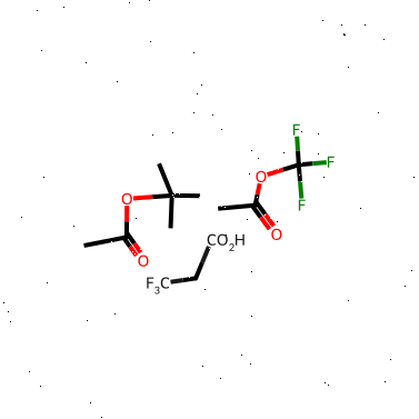 CC(=O)OC(C)(C)C.CC(=O)OC(F)(F)F.O=C(O)CC(F)(F)F